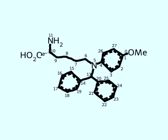 COc1ccc(N(CCCC[C@@H](N)C(=O)O)C(c2ccccc2)c2ccccc2)cc1